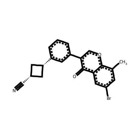 Cc1cc(Br)cc2c(=O)c(-c3cccc([C@H]4C[C@@H](C#N)C4)c3)coc12